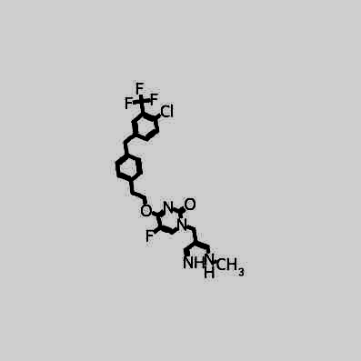 CN/C=C(\C=N)Cn1cc(F)c(OCCc2ccc(Cc3ccc(Cl)c(C(F)(F)F)c3)cc2)nc1=O